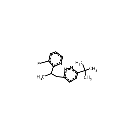 CC(Cc1ccc(C(C)(C)C)nn1)c1ncccc1F